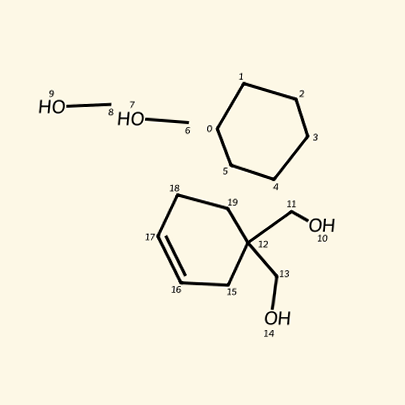 C1CCCCC1.CO.CO.OCC1(CO)CC=CCC1